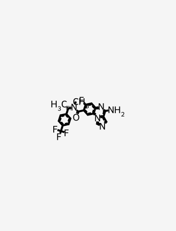 C[C@H](c1ccc(C(F)(F)F)cc1)N(C)C(=O)c1cc2c(cc1F)nc(N)c1cncn12